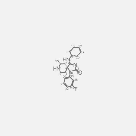 C[C@H]1C[C@]2(CCN1)C(NC1CCCCC1)=NC(=O)N2c1cccc(F)c1